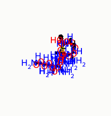 CCCC[C@H]1NC(=O)[C@@H]2CCCN2C(=O)CNC(=O)[C@H](CCCCN)NC(=O)[C@H](Cc2cnc[nH]2)NC(=O)[C@H](NC(=O)[C@@H](CC(C)C)NC(=O)[C@@H](CCCNC(=N)N)NC(=O)[C@H]2CCCN2C(=O)[C@@H](CCCNC(=N)N)NC(=O)[C@@H](CCC(N)=O)NC(=O)CNC(=O)CNC(=O)CNC(=O)CNC(=O)CN)CSSC[C@H](C(=O)N[C@H](Cc2ccccc2)C(=O)O)NC1=O